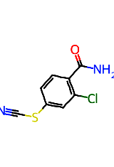 N#CSc1ccc(C(N)=O)c(Cl)c1